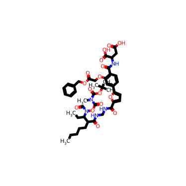 CCCCCC(C(=O)NCNC(=O)c1ccc(-c2ccc(C(=O)NC(CC(=O)O)C(=O)O)c(OCC(=O)OCc3ccccc3)c2)o1)C(CC)N(C=O)OC(=O)N(C)C(=O)OC(C)(C)C